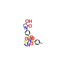 Cc1ccc(S(=O)(=O)N(c2nccs2)S(=O)(=O)c2ccc(N3CC[C@@H](O)C3=O)cc2)cc1